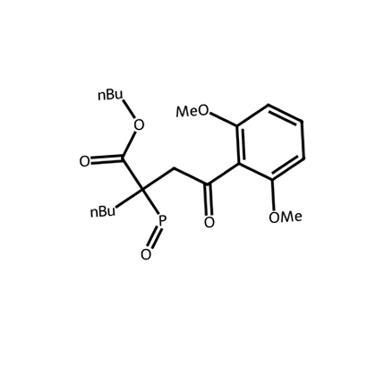 CCCCOC(=O)C(CCCC)(CC(=O)c1c(OC)cccc1OC)P=O